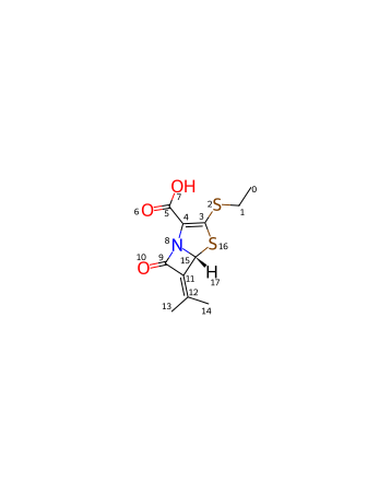 CCSC1=C(C(=O)O)N2C(=O)C(=C(C)C)[C@H]2S1